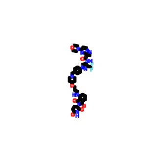 O=C1CCC(N2C(=O)c3cccc(NCCCOC4CCN(Cc5ccc(-n6cc(NC(=O)c7cnn8ccc(N9CCOCC9)nc78)c(C(F)F)n6)cc5)CC4)c3C2=O)C(=O)N1